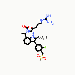 CC(c1cccc2c(-c3ccc(CS(C)(=O)=O)c(F)c3)c(C(=O)O)[nH]c12)n1cc(CCCNC(=N)N)oc1=O